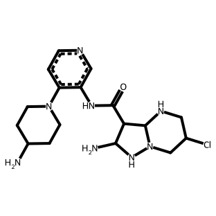 NC1CCN(c2ccncc2NC(=O)C2C(N)NN3CC(Cl)CNC23)CC1